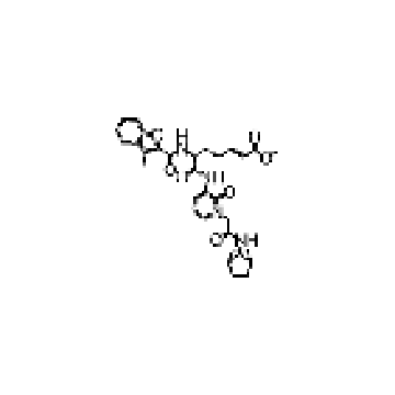 COC(=O)/C=C/CC[C@H](NC(=O)c1oc2ccccc2c1C)C(=O)Nc1cccn(CC(=O)NC2C3CCC2CC3)c1=O